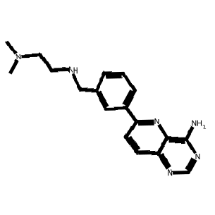 CN(C)CCNCc1cccc(-c2ccc3ncnc(N)c3n2)c1